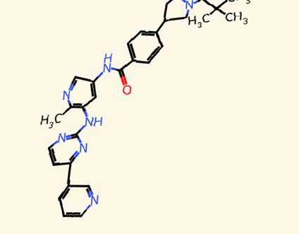 Cc1ncc(NC(=O)c2ccc(C3CCN(CC(C)(C)C)C3)cc2)cc1Nc1nccc(-c2cccnc2)n1